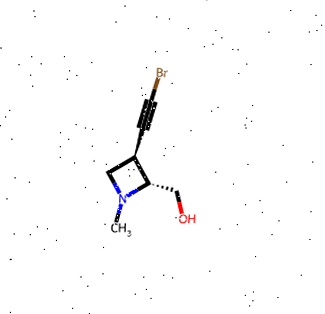 CN1C[C@@H](C#CBr)[C@@H]1CO